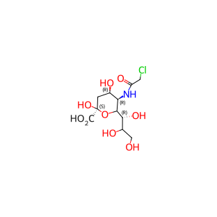 O=C(CCl)N[C@H]1C([C@H](O)C(O)CO)O[C@](O)(C(=O)O)C[C@H]1O